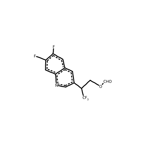 O=COCC(c1cnc2cc(F)c(F)cc2c1)C(F)(F)F